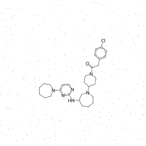 O=C(Cc1ccc(Cl)cc1)N1CCC(N2CCCCC(Nc3nccc(N4CCCCCC4)n3)C2)CC1